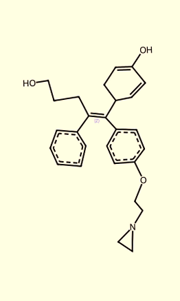 OCCC/C(=C(/c1ccc(OCCN2CC2)cc1)C1C=CC(O)=CC1)c1ccccc1